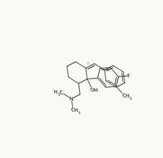 Cc1cc(C2(O)/C(=C\c3ccccc3)CCCC2CN(C)C)ccc1F